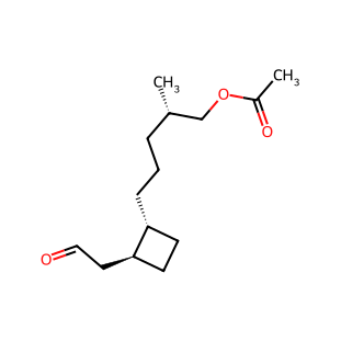 CC(=O)OC[C@@H](C)CCC[C@@H]1CC[C@H]1CC=O